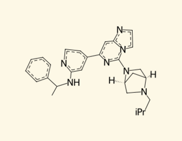 CC(C)CN1C[C@@H]2C[C@H]1CN2c1nc(-c2ccnc(NC(C)c3ccccc3)c2)cc2nccn12